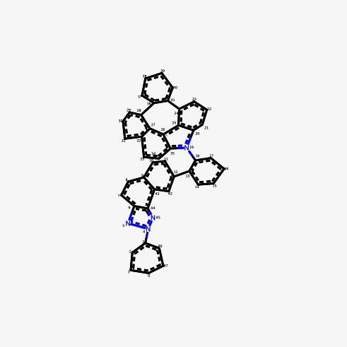 c1ccc(-n2nc3ccc4ccc(-c5ccccc5-n5c6cccc7c6c6c8c(cccc8ccc65)-c5ccccc5-7)cc4c3n2)cc1